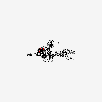 COc1ccc(C(OC(C(=O)c2ccccc2)[C@H]2O[C@@H](n3cnc4c(N)ncnc43)C[C@@H]2OP(=O)(OCCOCCO[C@@H]2O[C@H](COC(C)=O)[C@H](OC(C)=O)[C@H](OC(C)=O)[C@H]2OC(C)=O)N(C(C)C)C(C)C)(c2ccccc2)c2ccc(OC)cc2)cc1